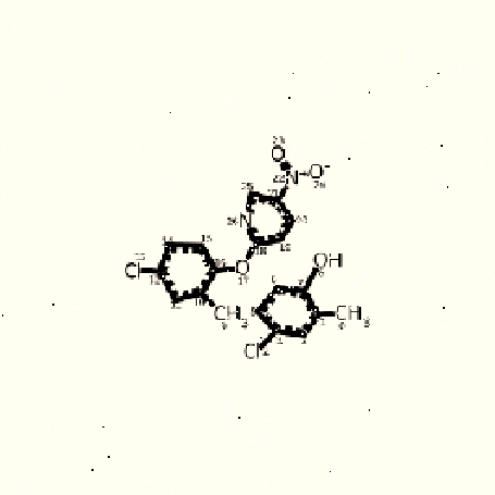 Cc1cc(Cl)ccc1O.Cc1cc(Cl)ccc1Oc1ccc([N+](=O)[O-])cn1